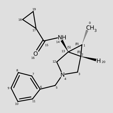 C[C@@H]1[C@@H]2CN(Cc3ccccc3)C[C@]12NC(=O)C1CC1